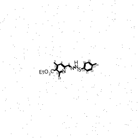 CCOC(=O)c1c(C)cc(/C=N/NSc2ccc(C)cc2)nc1C